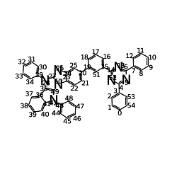 c1ccc(-c2nc(-c3ccccc3)nc(-c3cccc(-c4ccc5c(c4)nc4n(-c6ccccc6)c6c7ccccc7n(-c7ccccc7)c6n54)c3)n2)cc1